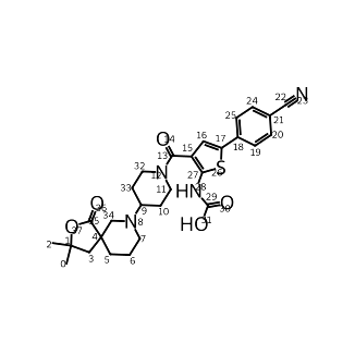 CC1(C)CC2(CCCN(C3CCN(C(=O)c4cc(-c5ccc(C#N)cc5)sc4NC(=O)O)CC3)C2)C(=O)O1